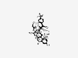 CCC(=O)O[C@]1(C(=O)SC(C)(C)C(=O)c2ccc(C(F)(F)F)cc2)[C@H](C)C[C@H]2[C@@H]3C[C@H](F)C4=CC(=O)C=C[C@]4(C)[C@@]3(F)[C@@H](O)C[C@@]21C